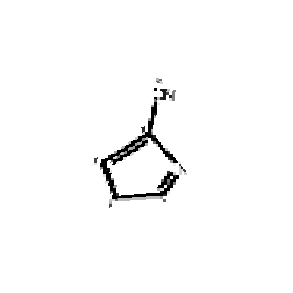 N#CC1=CCC=N1